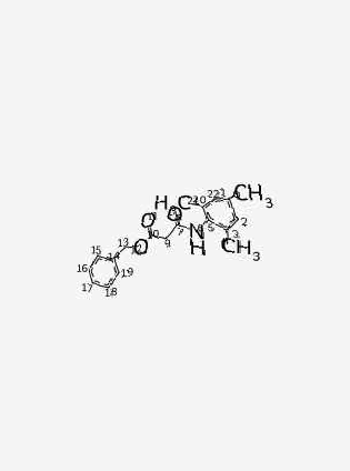 Cc1cc(C)c(NC(=O)CC(=O)OCc2ccccc2)c(C)c1